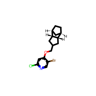 Clc1cc(OCC2C[C@@H]3[C@H]4CC[C@H](C4)[C@@H]3C2)c(Br)cn1